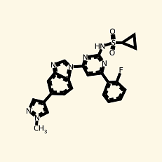 Cn1cc(-c2ccc3c(c2)ncn3-c2cc(-c3ccccc3F)nc(NS(=O)(=O)C3CC3)n2)cn1